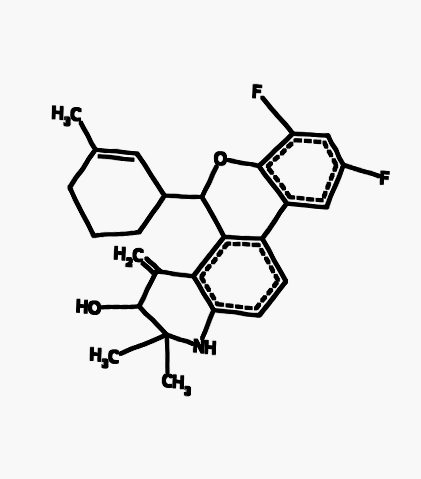 C=C1c2c(ccc3c2C(C2C=C(C)CCC2)Oc2c(F)cc(F)cc2-3)NC(C)(C)C1O